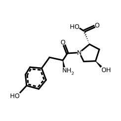 N[C@@H](Cc1ccc(O)cc1)C(=O)N1C[C@H](O)C[C@H]1C(=O)O